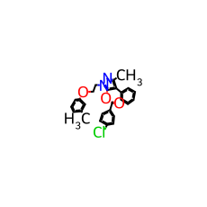 Cc1cccc(OCCn2nc(C)c(-c3ccccc3)c2OC(=O)c2ccc(Cl)cc2)c1